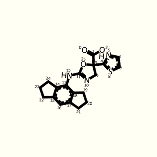 O=C(O)C1(c2nccs2)CN=C(Nc2c3c(cc4c2CCC4)CCC3)O1